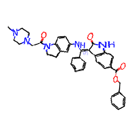 CN1CCN(CC(=O)N2CCc3cc(N/C(=C4\C(=O)Nc5cc(C(=O)OCc6ccccc6)ccc54)c4ccccc4)ccc32)CC1